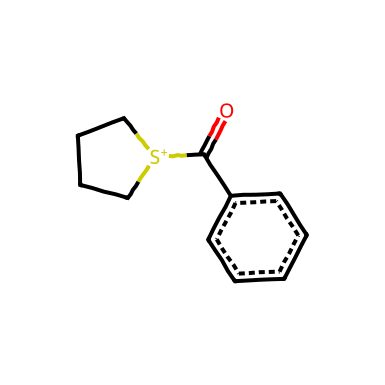 O=C(c1ccccc1)[S+]1CCCC1